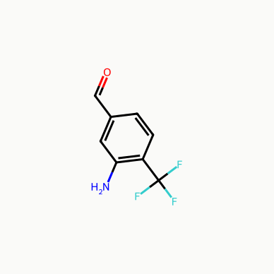 Nc1cc(C=O)ccc1C(F)(F)F